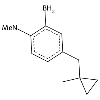 Bc1cc(CC2(C)CC2)ccc1NC